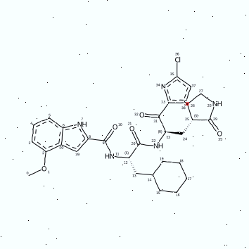 COc1cccc2[nH]c(C(=O)N[C@@H](CC3CCCCC3)C(=O)N[C@H](C[C@@H]3CCNC3=O)C(=O)c3nc(Cl)cs3)cc12